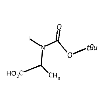 CC(C(=O)O)N(I)C(=O)OC(C)(C)C